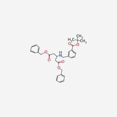 CC(C)(C)OC(=O)c1cccc(CNC(CC(=O)OCc2ccccc2)CC(=O)OCc2ccccc2)c1